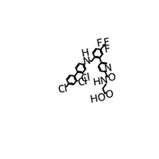 O=C(O)CCNC(=O)c1ccc(-c2cc(C(F)(F)F)ccc2CNc2ccc(-c3ccc(Cl)cc3Cl)c(Cl)c2)cn1